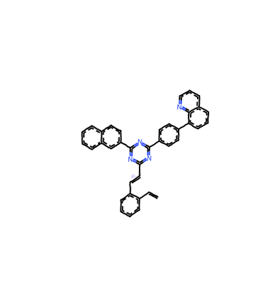 C=Cc1ccccc1/C=C/c1nc(-c2ccc(-c3cccc4cccnc34)cc2)nc(-c2ccc3ccccc3c2)n1